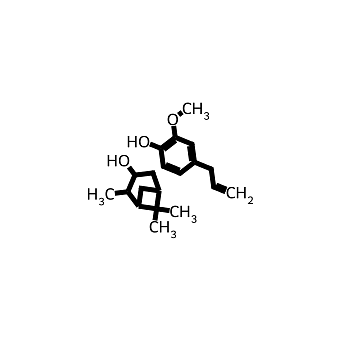 C=CCc1ccc(O)c(OC)c1.CC1C(O)CC2CC1C2(C)C